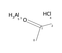 CC(C)=O.Cl.[AlH3]